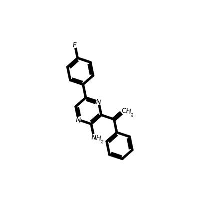 C=C(c1ccccc1)c1nc(-c2ccc(F)cc2)cnc1N